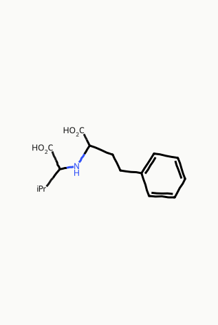 CC(C)C(NC(CCc1ccccc1)C(=O)O)C(=O)O